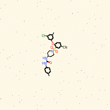 Cc1ccc(NC(=O)NC2CCN(S(=O)(=O)c3cc(C#N)ccc3Oc3cc(C)cc(Cl)c3)CC2)cc1